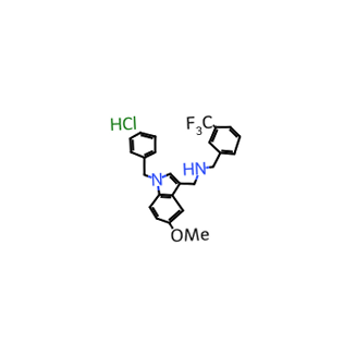 COc1ccc2c(c1)c(CNCc1cccc(C(F)(F)F)c1)cn2Cc1ccccc1.Cl